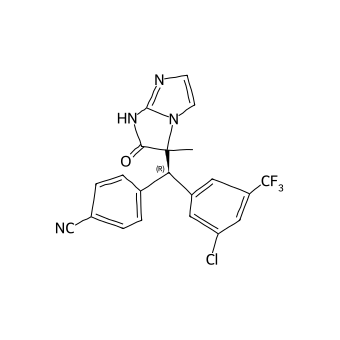 CC1([C@H](c2ccc(C#N)cc2)c2cc(Cl)cc(C(F)(F)F)c2)C(=O)Nc2nccn21